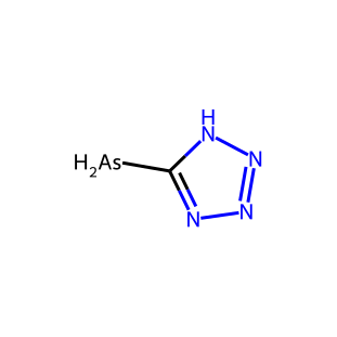 [AsH2]c1nnn[nH]1